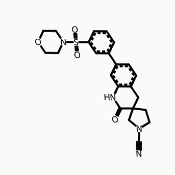 N#CN1CCC2(Cc3ccc(-c4cccc(S(=O)(=O)N5CCOCC5)c4)cc3NC2=O)C1